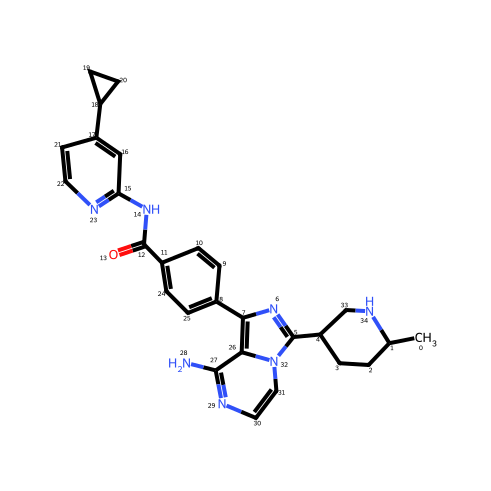 CC1CCC(c2nc(-c3ccc(C(=O)Nc4cc(C5CC5)ccn4)cc3)c3c(N)nccn23)CN1